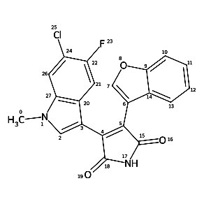 Cn1cc(C2=C(c3coc4ccccc34)C(=O)NC2=O)c2cc(F)c(Cl)cc21